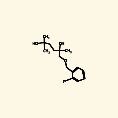 CC(C)(O)CCC(C)(O)COCc1ccccc1F